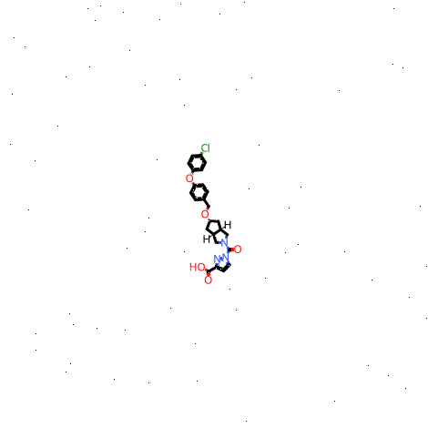 O=C(O)c1ccn(C(=O)N2C[C@H]3C[C@H](OCc4ccc(Oc5ccc(Cl)cc5)cc4)C[C@H]3C2)n1